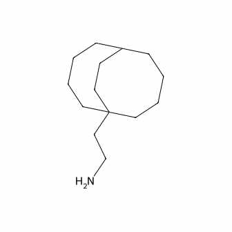 NCCC12CCCCC(CCCC1)CC2